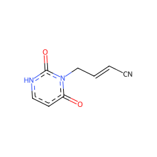 N#CC=CCn1c(=O)cc[nH]c1=O